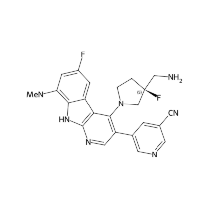 CNc1cc(F)cc2c1[nH]c1ncc(-c3cncc(C#N)c3)c(N3CC[C@](F)(CN)C3)c12